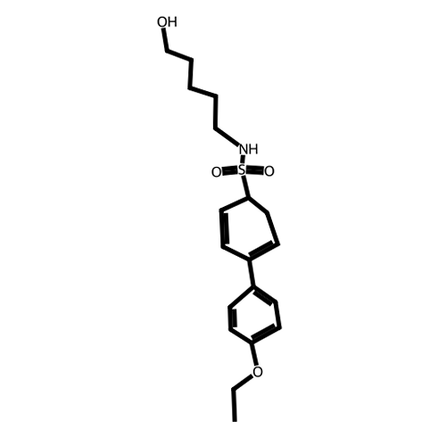 CCOc1ccc(C2=CCC(S(=O)(=O)NCCCCCO)C=C2)cc1